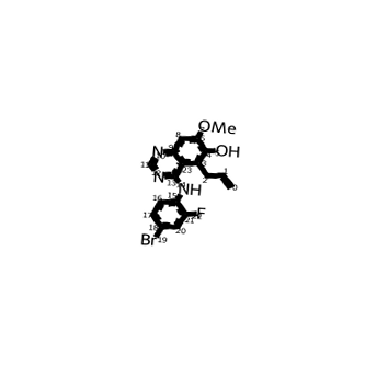 C=CCc1c(O)c(OC)cc2ncnc(Nc3ccc(Br)cc3F)c12